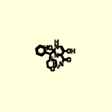 NC(=O)C1=NC(O)(C(c2ccccc2)N2CCOCC2)NC=C1O